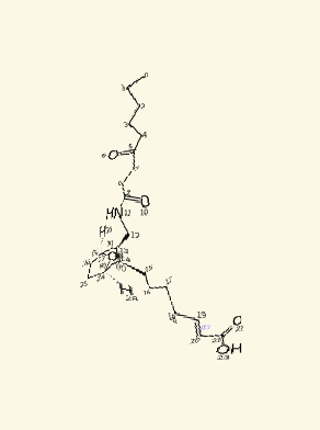 CCCCCC(=O)CCC(=O)NC[C@H]1[C@@H](CCCC/C=C/C(=O)O)[C@H]2CC[C@@H]1O2